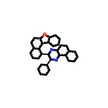 c1ccc(-c2nc3c(ccc4ccccc43)nc2-c2cccc3ccc4oc5ccccc5c4c23)cc1